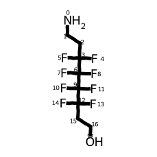 NCCC(F)(F)C(F)(F)C(F)(F)C(F)(F)CCO